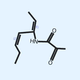 C/C=C(\C=C/CC)NC(=O)C(C)=O